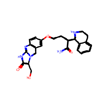 NC(=O)C(CCOc1ccc2c(c1)CN1C(=N2)NC(=O)C1CO)C1NCCc2ccccc21